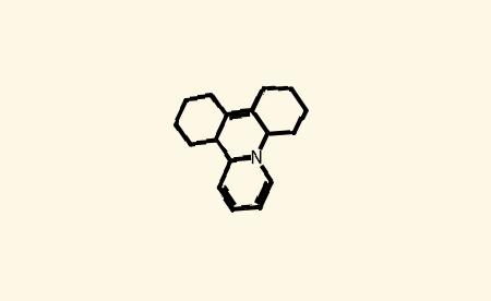 C1=CC2C3CCCCC3=C3CCCCC3N2C=C1